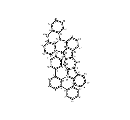 c1ccc(-c2cccc(-c3ccccc3)c2-n2c3ccccc3c3cc4c5cccc6c5n(c4cc32)-c2cccc3c2B6c2ccccc2O3)cc1